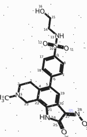 CN1CCc2c(-c3ccc(S(=O)(=O)NCCO)cc3)cc3c(c2C1)NC(=O)/C3=N\O